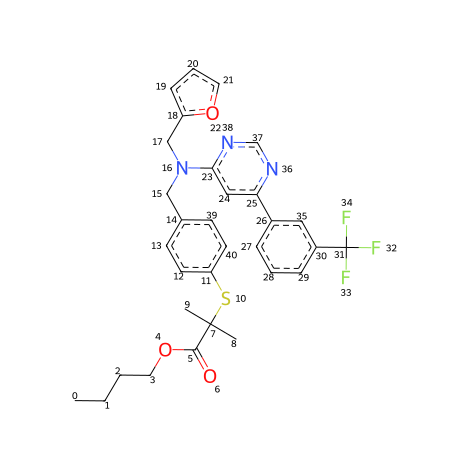 CCCCOC(=O)C(C)(C)Sc1ccc(CN(Cc2ccco2)c2cc(-c3cccc(C(F)(F)F)c3)ncn2)cc1